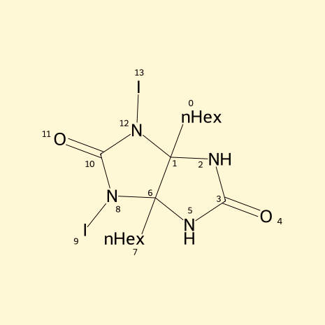 CCCCCCC12NC(=O)NC1(CCCCCC)N(I)C(=O)N2I